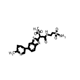 Cc1ccc(-c2ccc3nc(C(C(=O)NCCS(N)(=O)=O)S(C)(=O)=O)sc3c2)cn1